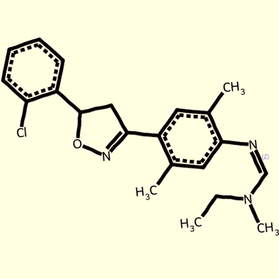 CCN(C)/C=N\c1cc(C)c(C2=NOC(c3ccccc3Cl)C2)cc1C